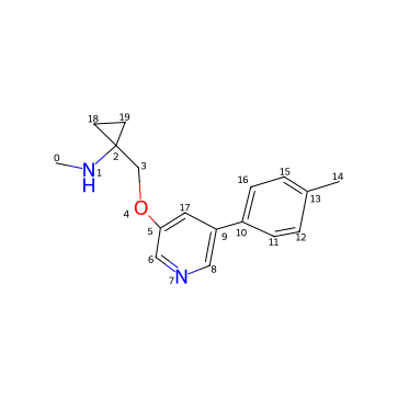 CNC1(COc2cncc(-c3ccc(C)cc3)c2)CC1